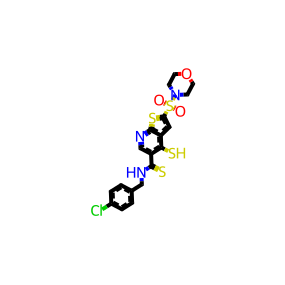 O=S(=O)(c1cc2c(S)c(C(=S)NCc3ccc(Cl)cc3)cnc2s1)N1CCOCC1